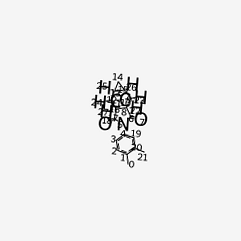 Cc1ccc(N2C(=O)[C@@H]3[C@@H]4CC[C@@H]([C@H]5C[C@H]54)[C@@H]3C2=O)cc1C